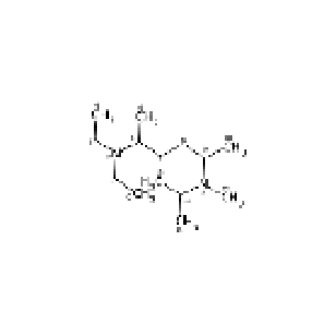 CCN(CC)C(C)CCC(C)N(C)C(C)C